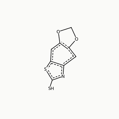 Sc1nc2cc3c(cc2s1)OCO3